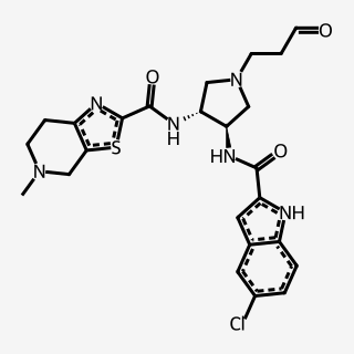 CN1CCc2nc(C(=O)N[C@@H]3CN(CCC=O)C[C@H]3NC(=O)c3cc4cc(Cl)ccc4[nH]3)sc2C1